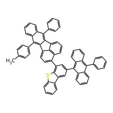 Cc1ccc(-c2c3c(c(-c4ccccc4)c4ccccc24)-c2cccc4c(-c5cc(-c6c7ccccc7c(-c7ccccc7)c7ccccc67)cc6c5sc5ccccc56)ccc-3c24)cc1